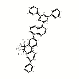 CC1(C)c2cc(-c3ccccc3)ccc2-c2ccc(-c3cccc4c(-c5nc(-c6ccccc6)nc(-c6ccccc6)n5)cccc34)cc2C1(C)C